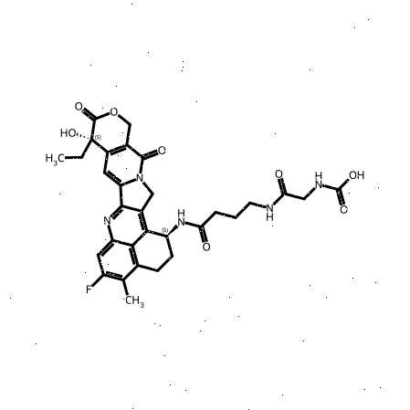 CC[C@@]1(O)C(=O)OCc2c1cc1n(c2=O)Cc2c-1nc1cc(F)c(C)c3c1c2[C@@H](NC(=O)CCCNC(=O)CNC(=O)O)CC3